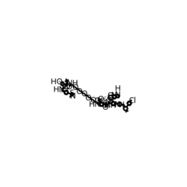 Cc1ncsc1-c1ccc([C@H](C)NC(=O)[C@@H]2C[C@@H](O)CN2C(=O)[C@@H](NC(=O)CCOCCOCCOCCOCCOCCNc2ccc(S(=O)(=O)NC(=O)c3ccc(N4CCN(CC5=C(c6ccc(Cl)cc6)CC(C)(C)CC5)CC4)cc3N3CCCOc4nc5[nH]ccc5cc43)cc2[N+](=O)[O-])C(C)(C)C)cc1